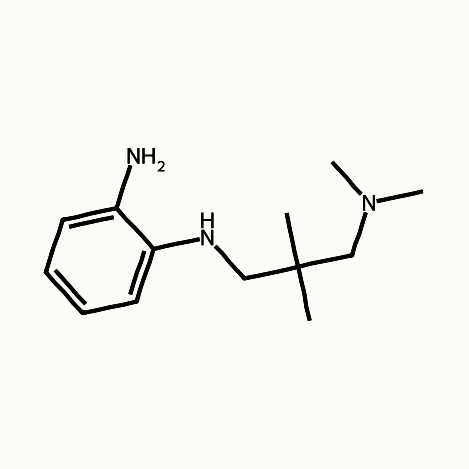 CN(C)CC(C)(C)CNc1ccccc1N